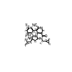 C[C@H](NC(=O)c1cnc(C#N)c(-c2cc(F)cc(F)c2)c1N1CC[C@@](N)(CC(F)F)C1)C1CC1